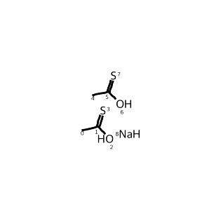 CC(O)=S.CC(O)=S.[NaH]